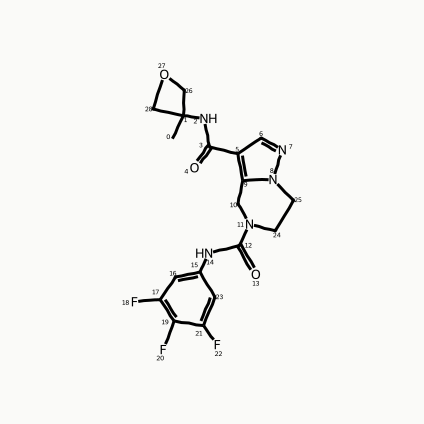 CC1(NC(=O)c2cnn3c2CN(C(=O)Nc2cc(F)c(F)c(F)c2)CC3)COC1